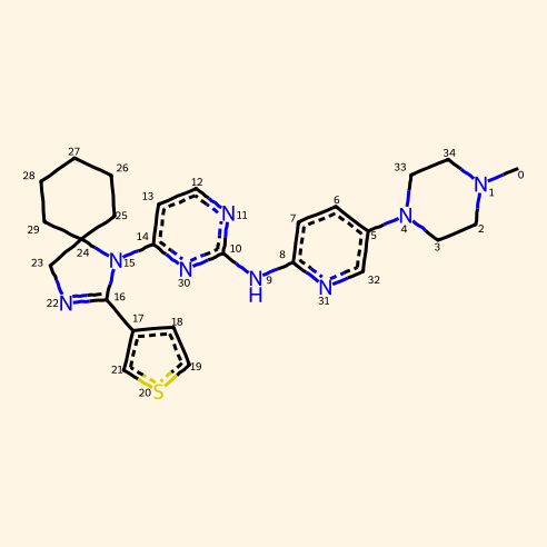 CN1CCN(c2ccc(Nc3nccc(N4C(c5ccsc5)=NCC45CCCCC5)n3)nc2)CC1